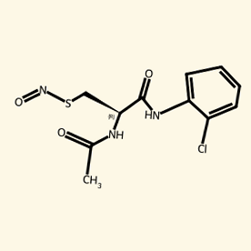 CC(=O)N[C@@H](CSN=O)C(=O)Nc1ccccc1Cl